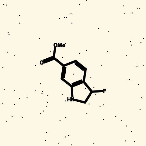 COC(=O)c1ccc2c(c1)NCC2F